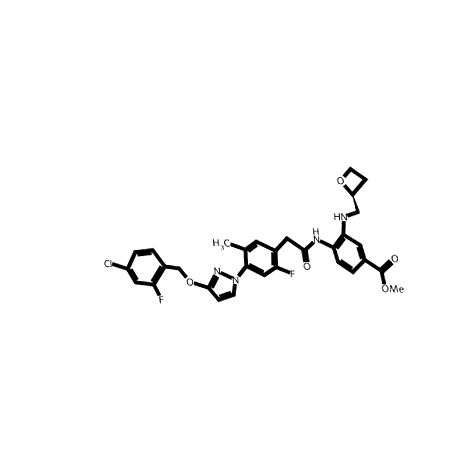 COC(=O)c1ccc(NC(=O)Cc2cc(C)c(-n3ccc(OCc4ccc(Cl)cc4F)n3)cc2F)c(NC[C@@H]2CCO2)c1